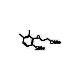 COCCOc1c(SC)ccc(C)c1C